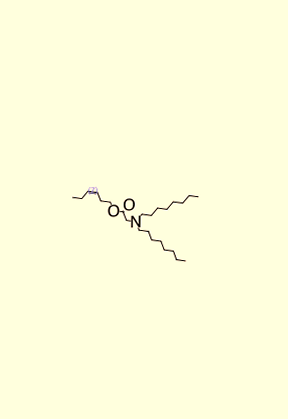 CC/C=C\CCOC(=O)CN(CCCCCCCC)CCCCCCCC